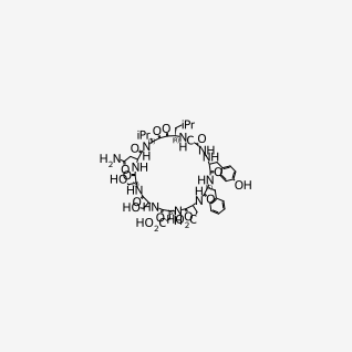 CC(C)C[C@H]1NCC(=O)NNC(Cc2ccc(O)cc2)C(=O)N[C@@H](Cc2ccccc2)C(=O)NC(CC(=O)O)C(=O)N[C@@H](CC(=O)O)C(=O)NC(CO)C(=O)N[C@@H](CO)C(=O)NC(CC(N)=O)C(=O)N[C@@H](C(C)C)C(=O)C1=O